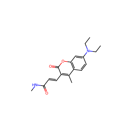 CCN(CC)c1ccc2c(C)c(/C=C/C(=O)NC)c(=O)oc2c1